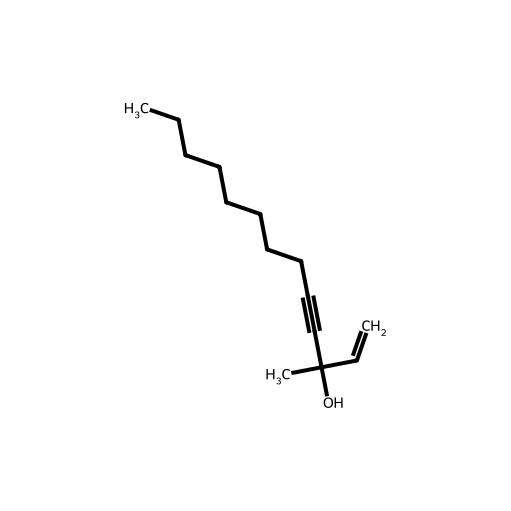 C=CC(C)(O)C#CCCCCCCCC